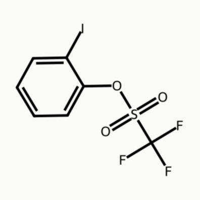 O=S(=O)(Oc1ccccc1I)C(F)(F)F